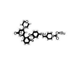 CC(C)(C)OC(=O)N1CCC(CNc2ccc3c(c2)Sc2cccc(-c4cc(N5CCOCC5)cc(=O)[nH]4)c2S3)CC1